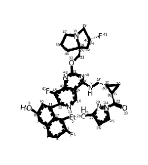 CCc1c(F)ccc2cc(O)cc(-c3ncc4c(NC[C@@H]5C[C@H]5C(=O)n5ccc(C)n5)nc(OC[C@@]56CCCN5C[C@H](F)C6)nc4c3F)c12